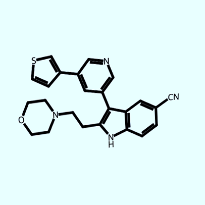 N#Cc1ccc2[nH]c(CCN3CCOCC3)c(-c3cncc(-c4ccsc4)c3)c2c1